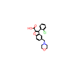 O=C(O)c1oc2ccc(CN3CCOCC3)cc2c1-c1ccccc1Cl